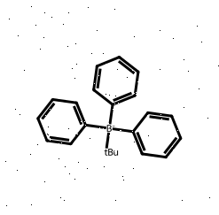 CC(C)(C)[B-](c1ccccc1)(c1ccccc1)c1ccccc1